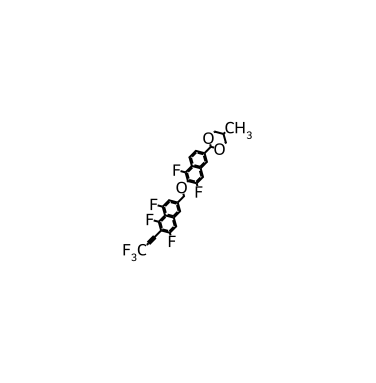 CC1COC(c2ccc3c(F)c(OCc4cc(F)c5c(F)c(C#CC(F)(F)F)c(F)cc5c4)c(F)cc3c2)OC1